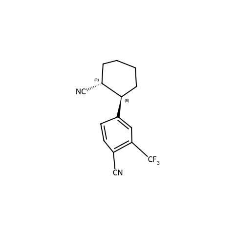 N#Cc1ccc([C@@H]2CCCC[C@H]2C#N)cc1C(F)(F)F